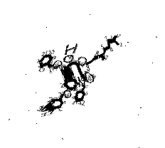 CC(C)=CCC/C(C)=C/COc1c(O)c2c(OCc3ccccc3)cc(OCc3ccccc3)cc2n(Cc2ccccc2)c1=O